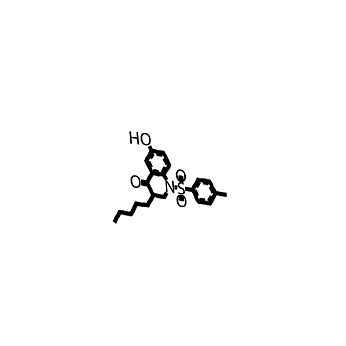 CCCCCC1CN(S(=O)(=O)c2ccc(C)cc2)c2ccc(O)cc2C1=O